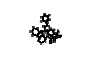 O=C(O)CC1CCCc2c3c(n([C@@H](CCc4ccccc4)c4ccc(C(F)(F)F)cc4)c21)CCCC3